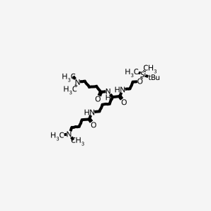 CN(C)CCCC(=O)NCCCC(NC(=O)CCCN(C)C)C(=O)NCCO[Si](C)(C)C(C)(C)C